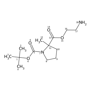 CC(C)(C)OC(=O)N1CCCC1(C)C(=O)OCCN